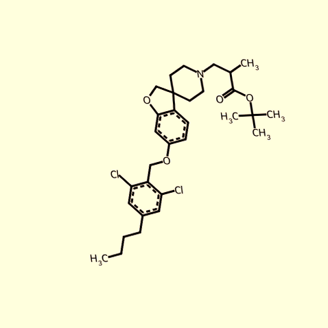 CCCCc1cc(Cl)c(COc2ccc3c(c2)OCC32CCN(CC(C)C(=O)OC(C)(C)C)CC2)c(Cl)c1